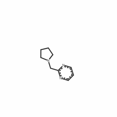 c1cnc(CN2CCCC2)nc1